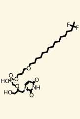 CC(F)(F)CCCCCCCCCCCCCCOCCCOP(=O)(O)COC(CO)Cn1ccc(=O)[nH]c1=O